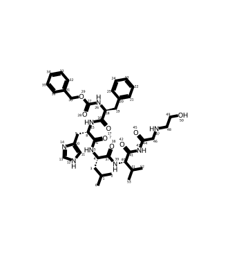 CC(C)C[C@H](NC(=O)[C@H](Cc1c[nH]cn1)NC(=O)[C@H](Cc1ccccc1)NC(=O)OCc1ccccc1)C(=O)N[C@H](C(=O)NC(=O)CNCCO)C(C)C